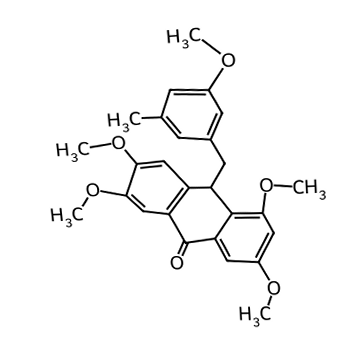 COc1cc(C)cc(CC2c3cc(OC)c(OC)cc3C(=O)c3cc(OC)cc(OC)c32)c1